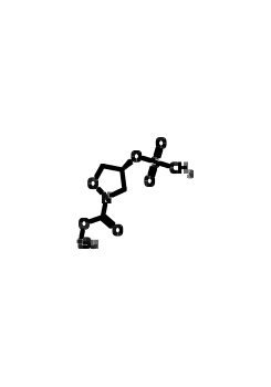 CC(C)(C)OC(=O)N1C[C@H](OS(C)(=O)=O)CO1